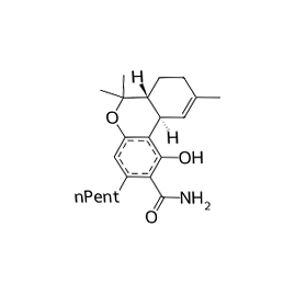 CCCCCc1cc2c(c(O)c1C(N)=O)[C@@H]1C=C(C)CC[C@H]1C(C)(C)O2